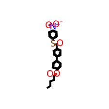 CCCCC(=O)Oc1ccc(-c2ccc(C(=O)Sc3ccc([N+](=O)[O-])cc3)cc2)cc1